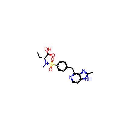 CC[C@@H](C(=O)O)N(C)S(=O)(=O)c1ccc(Cc2nccc3[nH]c(C)nc23)cc1